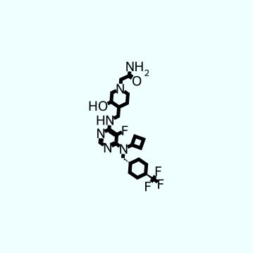 NC(=O)CN1CCC(CNc2ncnc(N(C[C@H]3CC[C@H](C(F)(F)F)CC3)C3CCC3)c2F)C(O)C1